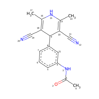 CC(=O)Nc1cccc(C2C(C#N)=C(C)NC(C)=C2C#N)c1